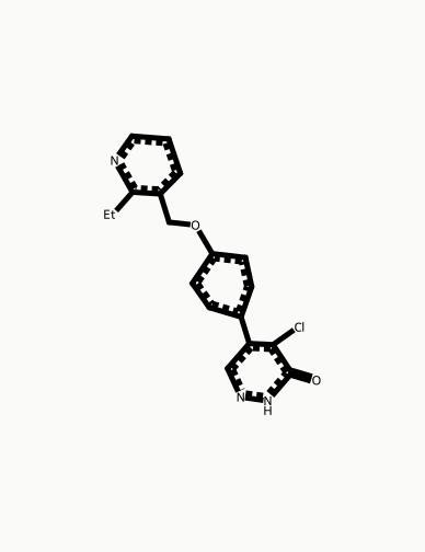 CCc1ncccc1COc1ccc(-c2cn[nH]c(=O)c2Cl)cc1